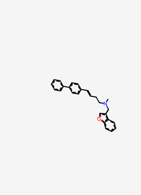 CN(CC/C=C/c1ccc(-c2ccccc2)cc1)Cc1coc2ccccc12